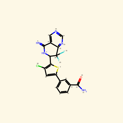 N=C1NC(c2sc(-c3cccc(C(N)=O)c3)cc2Cl)C(F)(F)c2ncncc21